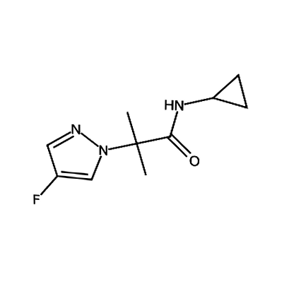 CC(C)(C(=O)NC1CC1)n1cc(F)cn1